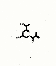 C=C(C)C(=O)NCC(CCC)OC(=O)C(C)O